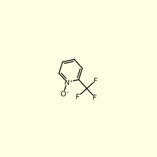 [O-][n+]1cc[c]cc1C(F)(F)F